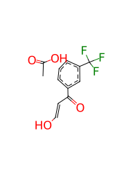 CC(=O)O.O=C(C=CO)c1cccc(C(F)(F)F)c1